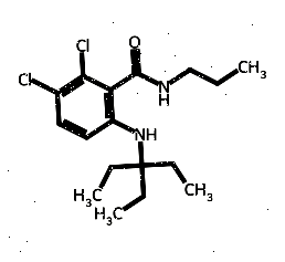 CCCNC(=O)c1c(NC(CC)(CC)CC)ccc(Cl)c1Cl